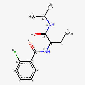 CSCC(NC(=O)c1ccccc1F)C(=O)NC(C)C#N